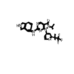 CC(C)n1c(=O)c2cnc(Nc3ccc4c(c3)CNC4)nc2n1-c1ccnc(C(C)(C)C(F)(F)F)c1